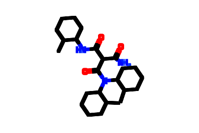 CC1CCCCC1NC(=O)C(C(N)=O)C(=O)N(C1CCCCC1C)C1CCCCC1C